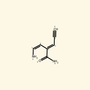 C#C/C=C(\C=C/N)C(N)=O